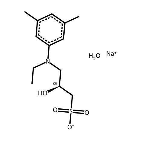 CCN(C[C@H](O)CS(=O)(=O)[O-])c1cc(C)cc(C)c1.O.[Na+]